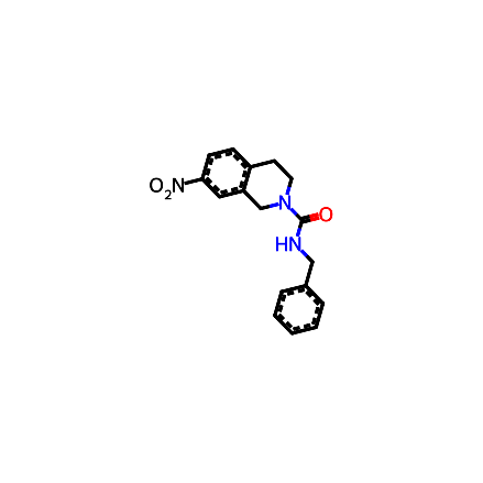 O=C(NCc1ccccc1)N1CCc2ccc([N+](=O)[O-])cc2C1